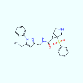 CC(C)Cc1cc(CNC(=O)C2C3CNCC32S(=O)(=O)c2ccccc2)nn1-c1ccccc1